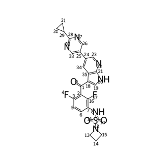 O=C(c1c(F)ccc(NS(=O)(=O)N2CCC2)c1F)c1c[nH]c2ncc(-c3cnc(C4CC4)nc3)cc12